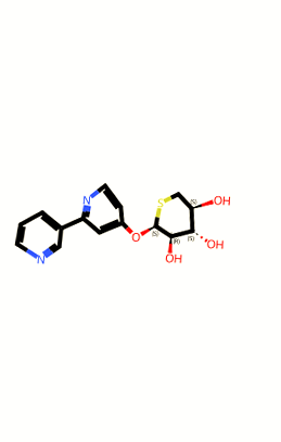 O[C@@H]1[C@@H](O)[C@@H](Oc2ccnc(-c3cccnc3)c2)SC[C@H]1O